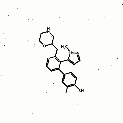 Cn1nccc1-c1c(CC2CNCCO2)cccc1-c1ccc(C#N)c(F)c1